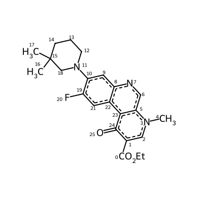 CCOC(=O)c1cn(C)c2cnc3cc(N4CCCC(C)(C)C4)c(F)cc3c2c1=O